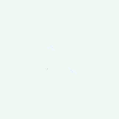 COc1ccnc2c1CC(N)CC2